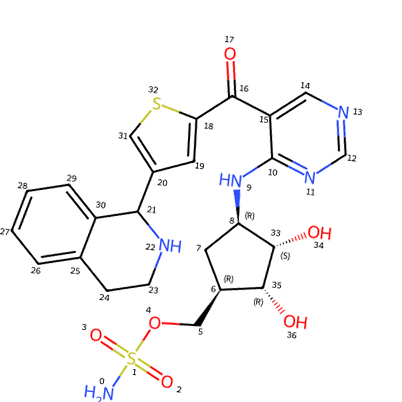 NS(=O)(=O)OC[C@H]1C[C@@H](Nc2ncncc2C(=O)c2cc(C3NCCc4ccccc43)cs2)[C@H](O)[C@@H]1O